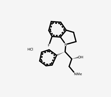 CNC[C@@H](O)[C@H](c1ccccc1)N1CCc2cccc(F)c21.Cl